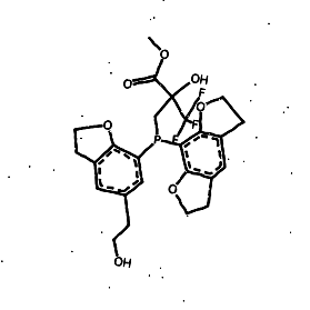 COC(=O)C(O)(CP(c1cc(CCO)cc2c1OCC2)c1c2c(cc3c1OCC3)CCO2)C(F)(F)F